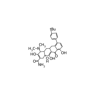 CN(C)C1C(O)=C(C(N)=O)CC2(O)C(O)=C3C(=O)c4c(O)ccc(-c5ccc(C(C)(C)C)cc5)c4CC3CC12